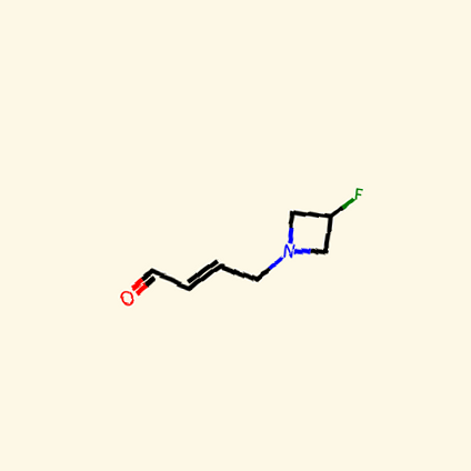 O=CC=CCN1CC(F)C1